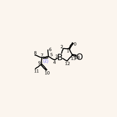 C=C1CB(C/C(C)=C(/C)C(=C)C)CC1=O